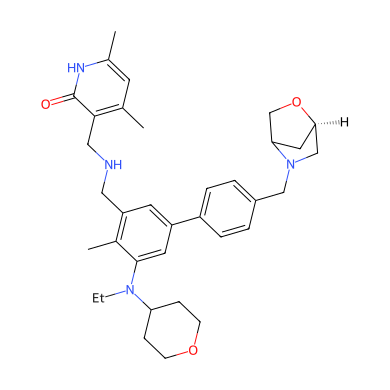 CCN(c1cc(-c2ccc(CN3C[C@H]4CC3CO4)cc2)cc(CNCc2c(C)cc(C)[nH]c2=O)c1C)C1CCOCC1